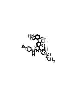 C=CC(=O)N1CCN2c3nc(NC4CCN(C5CC5)CC4)nc4cc(-c5c(C)ccc6[nH]ncc56)c(Cl)c(c34)OC[C@@H]2C1